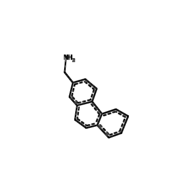 NCc1ccc2c(ccc3ccccc32)c1